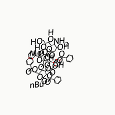 CCCCO[C@@H]1OC(COC(=O)c2ccccc2)[C@@H](O[C@H](OC(CO[C@]2(C(=O)OC)C[C@@H](O)[C@@H](N)C([C@H](O)[C@H](O)CO)O2)[C@H](O)COC(=O)c2ccccc2)[C@H](C)OC(=O)c2ccccc2)C(OC(=O)c2ccccc2)[C@@H]1OC(=O)c1ccccc1